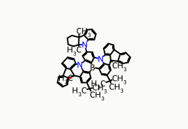 CC(C)(C)c1cc2c3c(c1)C1(C)c4ccccc4-c4cccc(c41)N3c1cc(N3c4ccccc4C4(C)CCCCC34C)cc3c1B2c1cc(C(C)(C)C)cc2c1N3c1cccc3c1C2(C)c1ccccc1-3